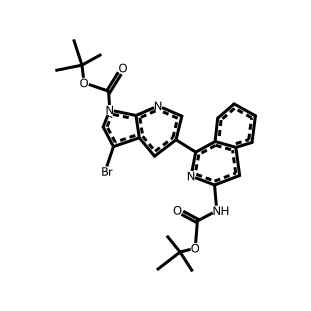 CC(C)(C)OC(=O)Nc1cc2ccccc2c(-c2cnc3c(c2)c(Br)cn3C(=O)OC(C)(C)C)n1